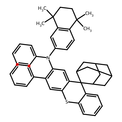 CC1(C)CCC(C)(C)c2cc(N(c3ccccc3)c3cc4c(cc3-c3ccccc3)Sc3ccccc3C43C4CC5CC(C4)CC3C5)ccc21